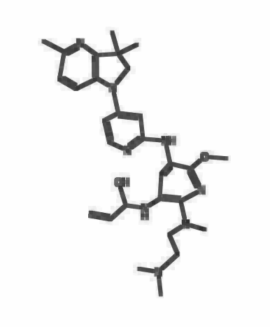 C=CC(O)Nc1cc(Nc2cc(N3CC(C)(C)c4nc(C)ccc43)ccn2)c(OC)nc1N(C)CCN(C)C